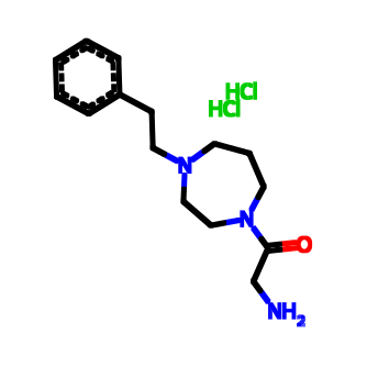 Cl.Cl.NCC(=O)N1CCCN(CCc2ccccc2)CC1